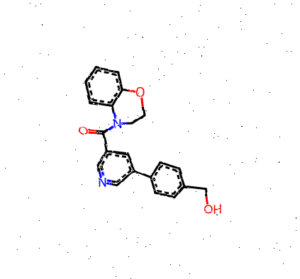 O=C(c1cncc(-c2ccc(CO)cc2)c1)N1CCOc2ccccc21